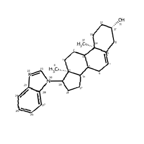 C[C@]12CCC3C(CC=C4C[C@@H](O)CC[C@@]43C)C1CCC2n1cnc2ccccc21